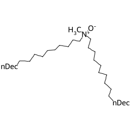 CCCCCCCCCCCCCCCCCCCC[N+](C)([O-])CCCCCCCCCCCCCCCCCCCC